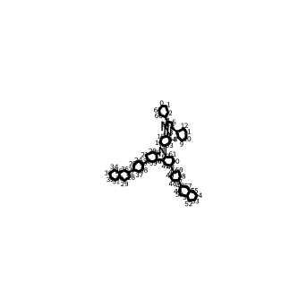 c1ccc(-c2cc(-c3ccccc3)n(-c3ccc(-n4c5ccc(-c6ccc(-c7ccc8ccccc8c7)cc6)cc5c5cc(-c6ccc(-c7ccc8ccccc8c7)cc6)ccc54)cc3)n2)cc1